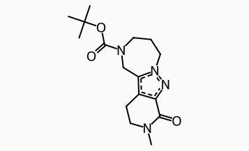 CN1CCc2c(nn3c2CN(C(=O)OC(C)(C)C)CCC3)C1=O